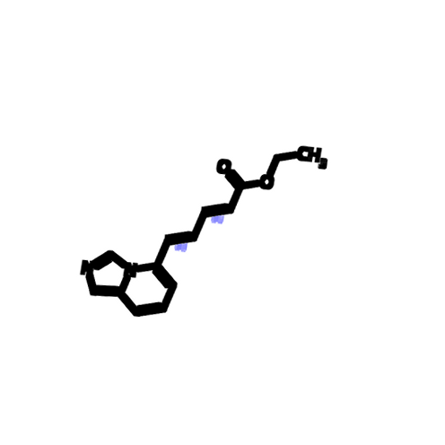 CCOC(=O)/C=C/C=C/c1cccc2cncn12